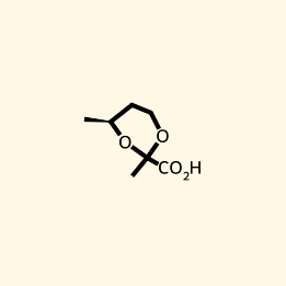 C[C@H]1CCOC(C)(C(=O)O)O1